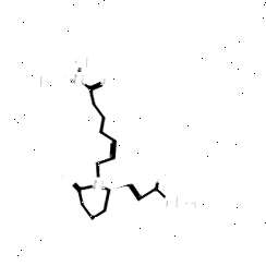 CCCCCC(O)/C=C/[C@H]1CCCC(=O)N1C/C=C\CCCC(=O)N(C)C